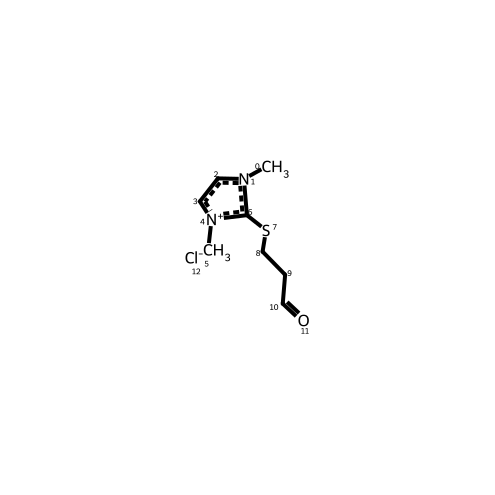 Cn1cc[n+](C)c1SCCC=O.[Cl-]